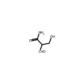 NC(=O)C(C=O)CO